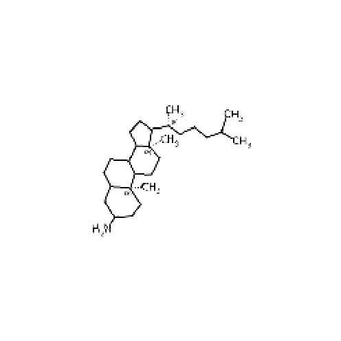 CC(C)CCC[C@@H](C)C1CCC2C3CCC4CC(N)CC[C@]4(C)C3CC[C@@]21C